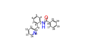 O=C(Nc1ccccc1Cc1ccccn1)c1ccccc1